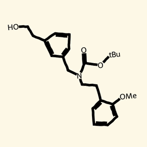 COc1ccccc1CCN(Cc1cccc(CCO)c1)C(=O)OC(C)(C)C